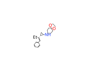 CCC(=Cc1ccccc1)[C@@H]1C[C@H]1NC1CCC2(CC1)OCCO2